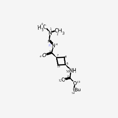 CN(C)/C=N/C(=O)[C@H]1C[C@@H](NC(=O)OC(C)(C)C)C1